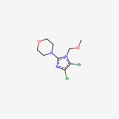 COCn1c(N2CCOCC2)nc(Br)c1Br